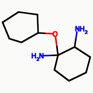 NC1CCCCC1(N)OC1CCCCC1